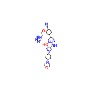 C[C@@H](Cn1cnnn1)Oc1cc(-c2cnc(Nc3cn(C4CCC(N5CCOCC5)CC4)nc3O)nc2)ccc1C#N